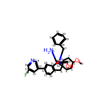 COC1CCC2(CC1)Cc1ccc(-c3cncc(F)c3)cc1C21N=C(N)N(Cc2ccccc2)/C1=C/O